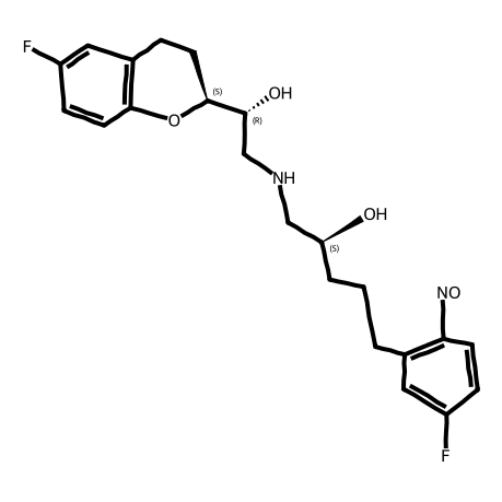 O=Nc1ccc(F)cc1CCC[C@H](O)CNC[C@@H](O)[C@@H]1CCc2cc(F)ccc2O1